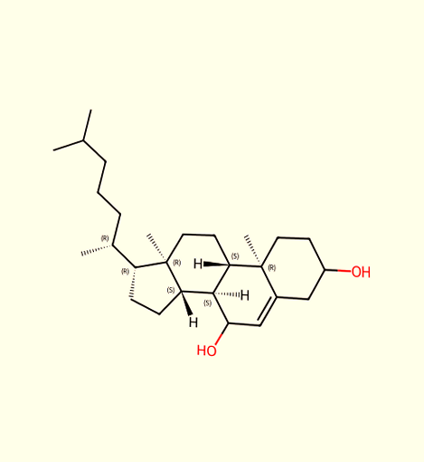 CC(C)CCC[C@@H](C)[C@H]1CC[C@H]2[C@@H]3C(O)C=C4CC(O)CC[C@]4(C)[C@H]3CC[C@]12C